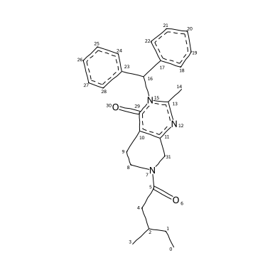 CCC(C)CC(=O)N1CCc2c(nc(C)n(C(c3ccccc3)c3ccccc3)c2=O)C1